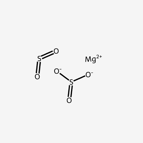 O=S([O-])[O-].O=S=O.[Mg+2]